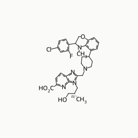 C[C@H](CO)Cn1c(CN2CCC(c3cccc4c3N(C)C(c3ccc(Cl)cc3F)CO4)CC2)nc2ccc(C(=O)O)nc21